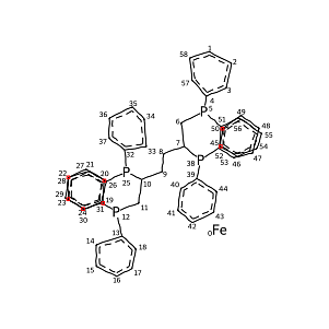 [Fe].c1ccc(P(CC(CCC(CP(c2ccccc2)c2ccccc2)P(c2ccccc2)c2ccccc2)P(c2ccccc2)c2ccccc2)c2ccccc2)cc1